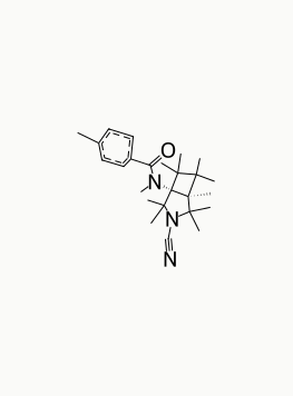 Cc1ccc(C(=O)N(C)[C@@]23C(C)(C)N(C#N)C(C)(C)[C@]2(C)C(C)(C)C3(C)C)cc1